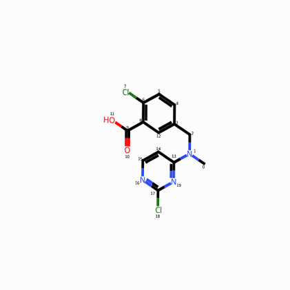 CN(Cc1ccc(Cl)c(C(=O)O)c1)c1ccnc(Cl)n1